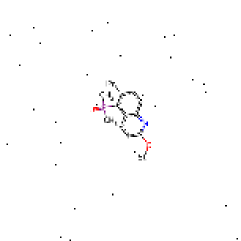 CCOc1ccc2c(P(C)(C)=O)c(C(C)C)ccc2n1